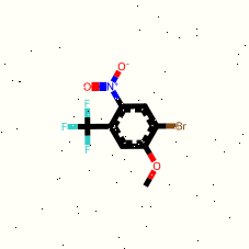 COc1cc(C(F)(F)F)c([N+](=O)[O-])cc1Br